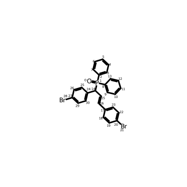 O=P(c1ccccc1)(c1ccccc1)C(C=Cc1ccc(Br)cc1)c1ccc(Br)cc1